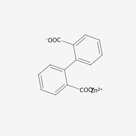 O=C([O-])c1ccccc1-c1ccccc1C(=O)[O-].[Zn+2]